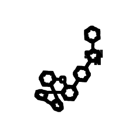 c1ccc(-c2nnc(-c3ccc(-c4cccc5c4Oc4ccccc4C54c5ccccc5-c5ccccc54)cc3)s2)cc1